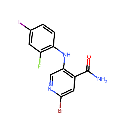 NC(=O)c1cc(Br)ncc1Nc1ccc(I)cc1F